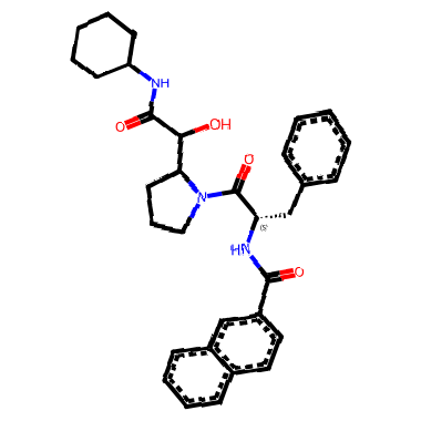 O=C(N[C@@H](Cc1ccccc1)C(=O)N1CCCC1C(O)C(=O)NC1CCCCC1)c1ccc2ccccc2c1